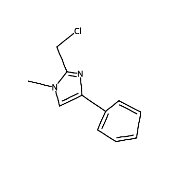 Cn1cc(-c2ccccc2)nc1CCl